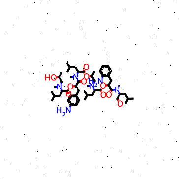 CC(C)CC(C(=O)OC(Cc1ccccc1N)C(=O)N(C)C(C=O)CC(C)C)N(C)CC(C)OC(=O)C(CC(C)C)N(C)C(=O)C(Cc1ccc(N)cc1)OC(=O)C(CC(C)C)N(C)CC(C)O